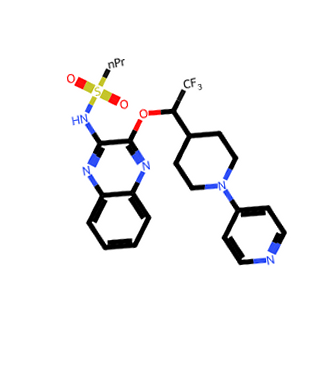 CCCS(=O)(=O)Nc1nc2ccccc2nc1OC(C1CCN(c2ccncc2)CC1)C(F)(F)F